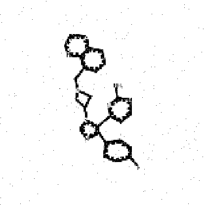 Nc1nccc(-c2c(-c3ccc(F)cc3)ncn2C2CN(Cc3cccc4nccnc34)C2)n1